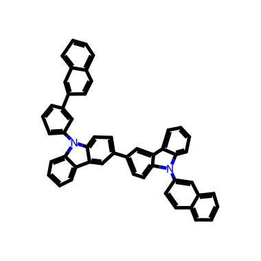 c1cc(-c2ccc3ccccc3c2)cc(-n2c3ccccc3c3cc(-c4ccc5c(c4)c4ccccc4n5-c4ccc5ccccc5c4)ccc32)c1